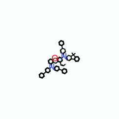 C/C=C\c1cc(N(C2=CCC(c3ccccc3)C=C2)C2=CC=C3c4ccccc4C(C)(C)C3C2)cc2c1Cc1c(cccc1N(c1ccc(-c3ccccc3)cc1)c1ccc(-c3ccccc3)cc1)O2